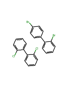 Brc1ccc(-c2ccccc2Br)cc1.Clc1ccccc1-c1ccccc1Cl